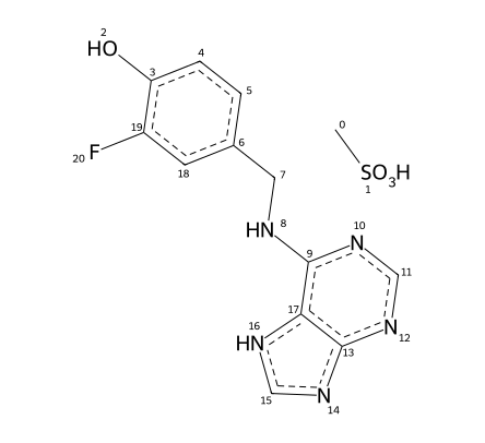 CS(=O)(=O)O.Oc1ccc(CNc2ncnc3nc[nH]c23)cc1F